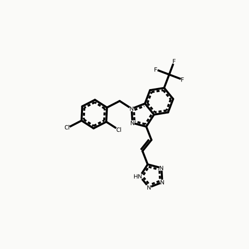 FC(F)(F)c1ccc2c(C=Cc3nnn[nH]3)nn(Cc3ccc(Cl)cc3Cl)c2c1